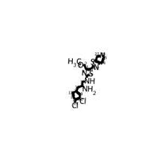 COCc1nc(NCC(N)Cc2ccc(Cl)c(Cl)c2)sc1-c1nc2ccncc2s1